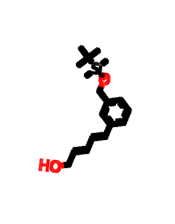 CC(C)(C)[Si](C)(C)OCc1cccc(/C=C/C=C/CO)c1